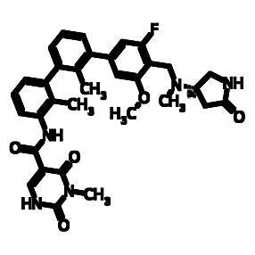 COc1cc(-c2cccc(-c3cccc(NC(=O)c4c[nH]c(=O)n(C)c4=O)c3C)c2C)cc(F)c1CN(C)[C@@H]1CNC(=O)C1